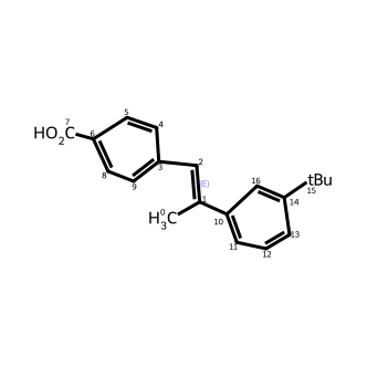 C/C(=C\c1ccc(C(=O)O)cc1)c1cccc(C(C)(C)C)c1